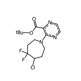 CC(C)(C)OC(=O)c1nccnc1N1CCC(Cl)C(F)(F)CC1